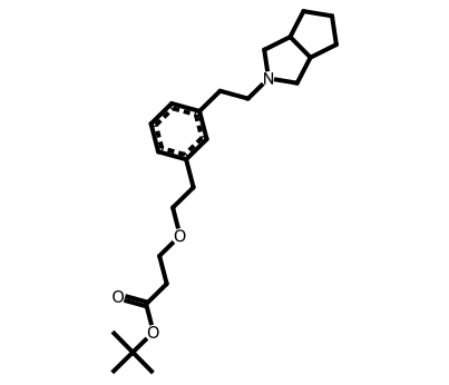 CC(C)(C)OC(=O)CCOCCc1cccc(CCN2CC3CCCC3C2)c1